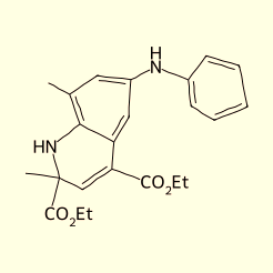 CCOC(=O)C1=CC(C)(C(=O)OCC)Nc2c(C)cc(Nc3ccccc3)cc21